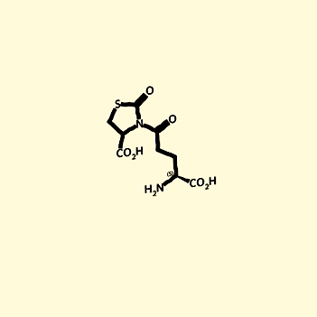 N[C@@H](CCC(=O)N1C(=O)SCC1C(=O)O)C(=O)O